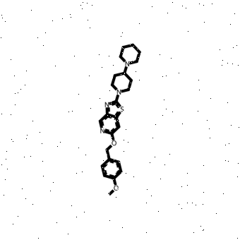 COc1ccc(COc2cc3sc(N4CCC(N5CCCCC5)CC4)nc3cn2)cc1